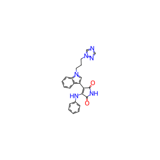 O=C1NC(=O)C(c2cn(CCCn3cncn3)c3ccccc23)=C1Nc1ccccc1